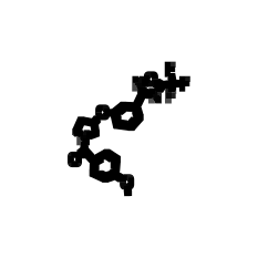 COc1ccc(C(=O)N2CCC(Oc3cccc(-c4noc(C(F)(F)F)n4)c3)C2)cc1